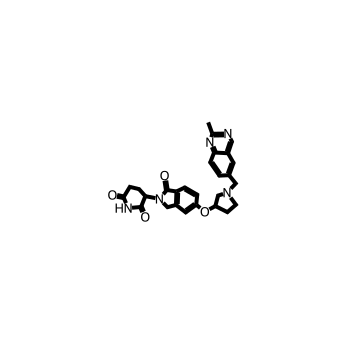 Cc1ncc2cc(CN3CCC(Oc4ccc5c(c4)CN(C4CCC(=O)NC4=O)C5=O)C3)ccc2n1